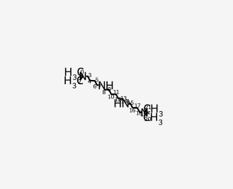 CN(C)CCCCNCCCCCCNCCCCN(C)C